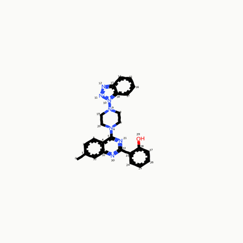 Cc1ccc2c(N3CCN(n4nnc5ccccc54)CC3)nc(-c3ccccc3O)nc2c1